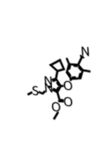 CCOC(=O)c1c(Oc2cc(C)c(C#N)c(C)c2)c(C2CCC2)nn1CSC